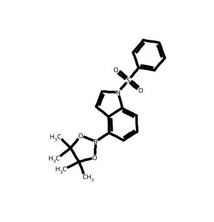 CC1(C)OB(c2cccc3c2ccn3S(=O)(=O)c2ccccc2)OC1(C)C